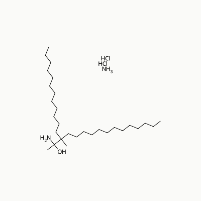 CCCCCCCCCCCCCC(C)(CCCCCCCCCCCC)C(C)(N)O.Cl.Cl.N